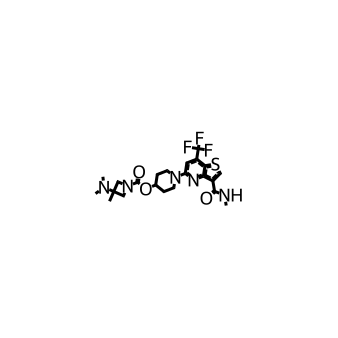 CNC(=O)c1csc2c(C(F)(F)F)cc(N3CCC(OC(=O)N4CC(C)(N(C)C)C4)CC3)nc12